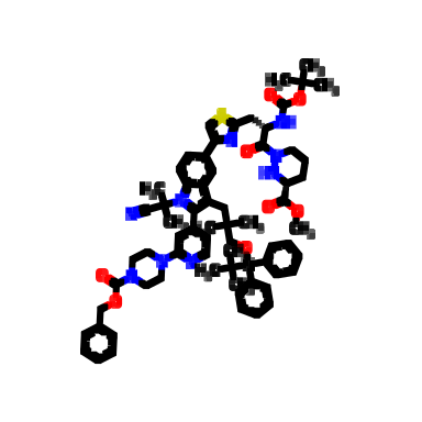 COC(=O)[C@@H]1CCCN(C(=O)[C@H](Cc2nc(-c3ccc4c(c3)c(CC(C)(C)CO[Si](c3ccccc3)(c3ccccc3)C(C)(C)C)c(-c3ccnc(N5CCN(C(=O)OCc6ccccc6)CC5)c3)n4C(C)(C)C#N)cs2)NC(=O)OC(C)(C)C)N1